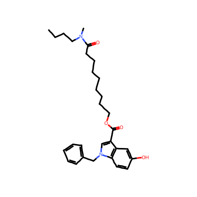 CCCCN(C)C(=O)CCCCCCCCOC(=O)c1cn(Cc2ccccc2)c2ccc(O)cc12